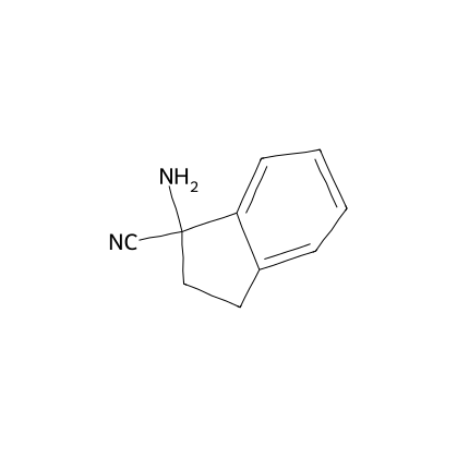 N#CC1(N)CCc2ccccc21